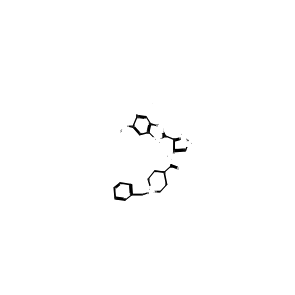 COc1cc2nc(-c3n[nH]cc3NC(=O)C3CCN(Cc4ccccc4)CC3)[nH]c2cc1OC